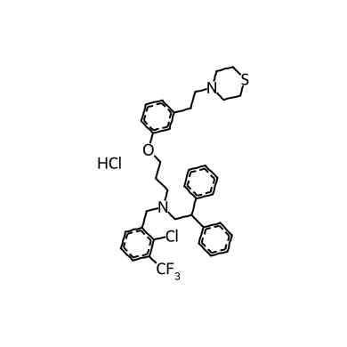 Cl.FC(F)(F)c1cccc(CN(CCCOc2cccc(CCN3CCSCC3)c2)CC(c2ccccc2)c2ccccc2)c1Cl